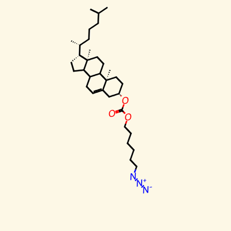 CC(C)CCC[C@@H](C)[C@H]1CCC2C3CC=C4C[C@@H](OC(=O)OCCCCCCN=[N+]=[N-])CC[C@]4(C)C3CC[C@@]21C